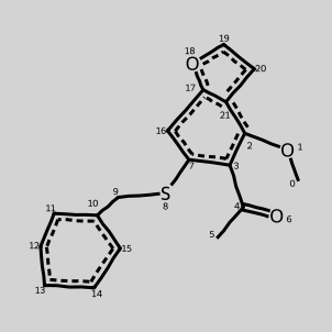 COc1c(C(C)=O)c(SCc2ccccc2)cc2occc12